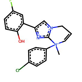 C[N+]1(c2ccc(Cl)cc2)C=CCn2cc(-c3cc(F)ccc3O)nc21